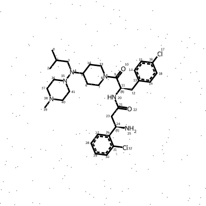 CC(C)CN(C1CCN(C(=O)[C@@H](Cc2ccc(Cl)cc2)NC(=O)C[C@@H](N)c2ccccc2Cl)CC1)N1CCN(C)CC1